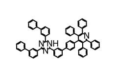 c1ccc(-c2cccc(C3=NC(c4cccc(-c5ccc(-c6c(-c7ccccc7)c(-c7ccccc7)nc(-c7ccccc7)c6-c6ccccc6)cc5)c4)NC(c4cccc(-c5ccccc5)c4)=N3)c2)cc1